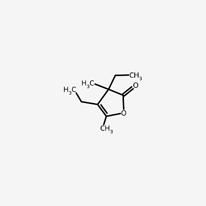 CCC1=C(C)OC(=O)C1(C)CC